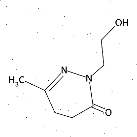 CC1=NN(CCO)C(=O)CC1